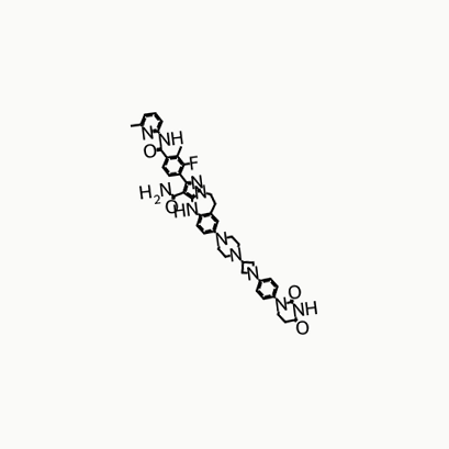 Cc1cccc(NC(=O)c2ccc(-c3nn4c(c3C(N)=O)Nc3ccc(N5CCN(C6CN(c7ccc(N8CCC(=O)NC8=O)cc7)C6)CC5)cc3CC4)c(F)c2C)n1